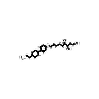 CCCC1CCC(c2ccc(OCCCCCC(=O)C(O)CCO)cc2)CC1